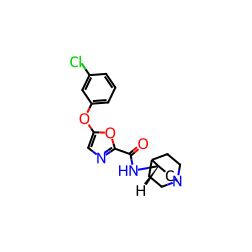 O=C(N[C@H]1CN2CCC1CC2)c1ncc(Oc2cccc(Cl)c2)o1